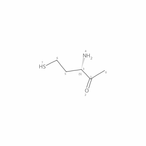 CC(=O)[C@@H](N)CCS